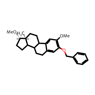 COc1cc2c(cc1OCc1ccccc1)CCC1C2CC[C@@]2(C)C1CC[C@@H]2OC